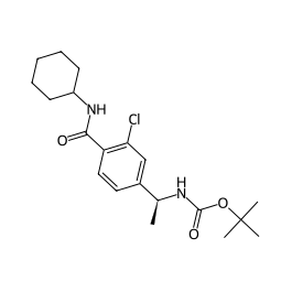 C[C@H](NC(=O)OC(C)(C)C)c1ccc(C(=O)NC2CCCCC2)c(Cl)c1